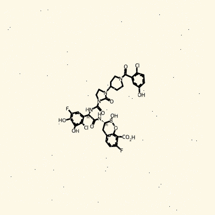 O=C(O)c1c(F)ccc2c1OB(O)[C@@H](NC(=O)[C@H](NC(=O)N1CCN(C3CCN(C(=O)c4cc(O)ccc4Cl)CC3)C1=O)c1cc(F)c(O)c(O)c1Cl)C2